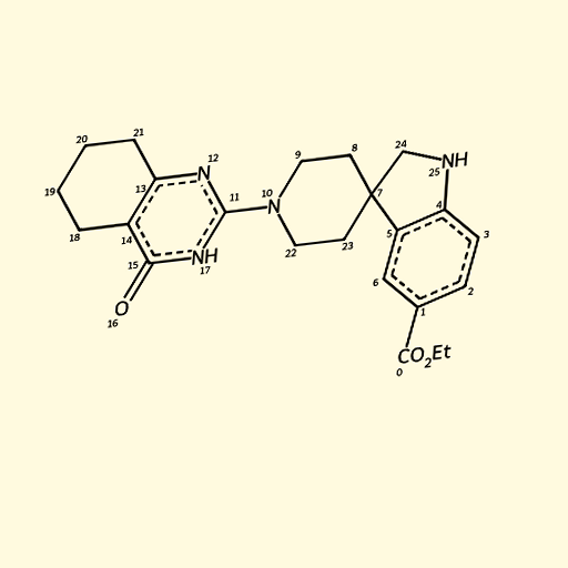 CCOC(=O)c1ccc2c(c1)C1(CCN(c3nc4c(c(=O)[nH]3)CCCC4)CC1)CN2